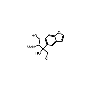 CNC(CO)C(O)(CCl)c1ccc2occc2c1